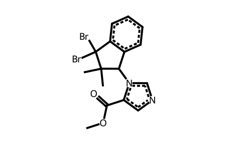 COC(=O)c1cncn1C1c2ccccc2C(Br)(Br)C1(C)C